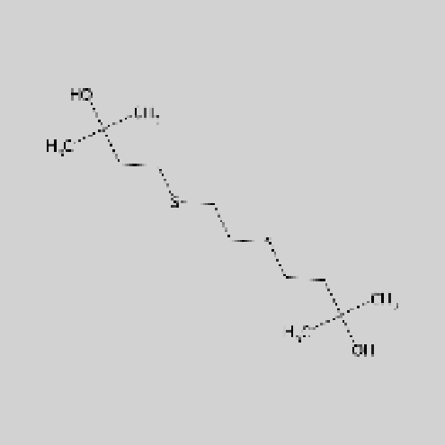 CC(C)(O)CCSCCSCCC(C)(C)O